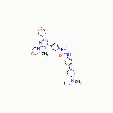 C[C@@H]1COCCN1c1nc(-c2ccc(NC(=O)Nc3ccc(N4CCC(N(C)C)CC4)cc3)cc2)nc(C2CCOCC2)n1